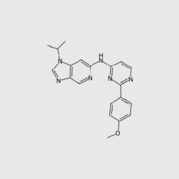 COc1ccc(-c2nccc(Nc3cc4c(cn3)ncn4C(C)C)n2)cc1